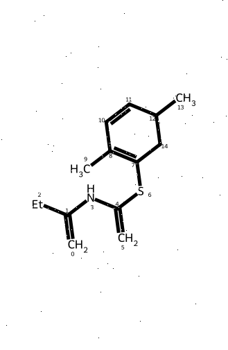 C=C(CC)NC(=C)SC1=C(C)C=CC(C)C1